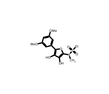 CCS(=O)(=O)N(C)c1oc(-c2cc(OC)cc(OC)c2)c(O)c1O